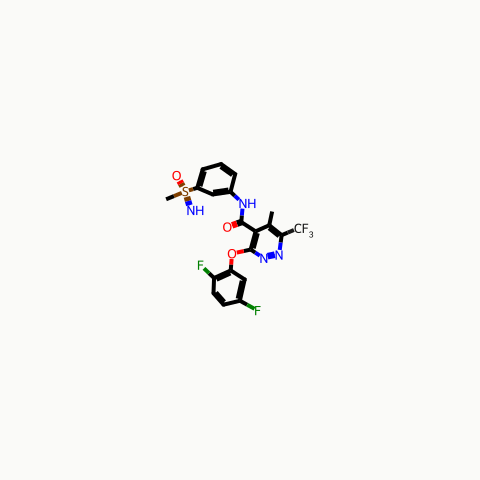 Cc1c(C(F)(F)F)nnc(Oc2cc(F)ccc2F)c1C(=O)Nc1cccc(S(C)(=N)=O)c1